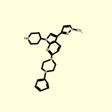 Cn1ccc(-c2cn(C3CCNCC3)c3nc(N4CCN(c5cc[c]cc5)CC4)ccc23)n1